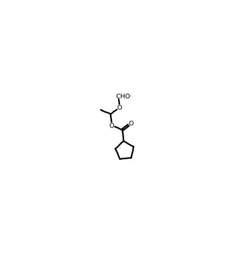 CC(O[C]=O)OC(=O)C1CCCC1